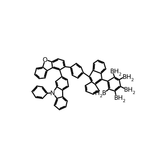 Bc1c(B)c(B)c(-c2c3ccccc3c(-c3ccc(-c4ccc5oc6ccccc6c5c4-c4ccc5c6ccccc6n(-c6ccccc6)c5c4)cc3)c3ccccc23)c(B)c1B